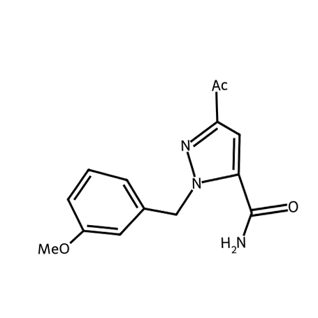 COc1cccc(Cn2nc(C(C)=O)cc2C(N)=O)c1